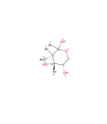 CC(=O)O[C@]1(C(C)=O)C(O)(C(C)=O)OC[C@H](O)[C@@]1(O)C(C)=O